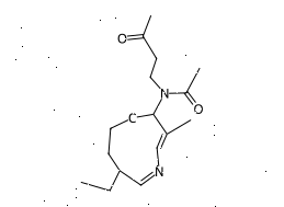 CCC1/C=N\C=C(/C)C(N(CCC(C)=O)C(C)=O)CCC1